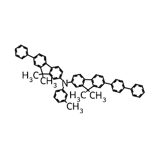 Cc1cccc(N(c2ccc3c(c2)C(C)(C)c2cc(-c4ccccc4)ccc2-3)c2ccc3c(c2)C(C)(C)c2cc(-c4ccc(-c5ccccc5)cc4)ccc2-3)c1